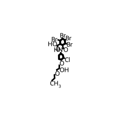 CCCCOCC(O)COc1ccc(NC(=O)c2c(Br)c(Br)c(Br)c(Br)c2C(=O)O)cc1Cl